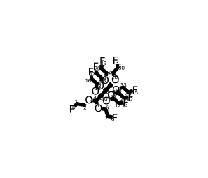 FCCOC(OCCF)C(OCCF)(OCCF)C(OCCF)(OCCF)C(OCCF)(OCCF)OCCF